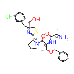 CC(OCc1ccccc1)[C@H](NC(=O)[C@H](C)N)C(=O)N1CCC[C@H]1C1=N[C@](CO)(Cc2cccc(Cl)c2)CS1